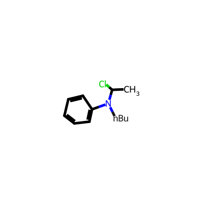 CCCCN(c1ccccc1)C(C)Cl